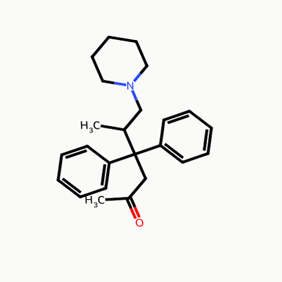 CC(=O)CC(c1ccccc1)(c1ccccc1)C(C)CN1CCCCC1